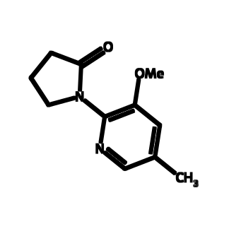 COc1cc(C)cnc1N1CCCC1=O